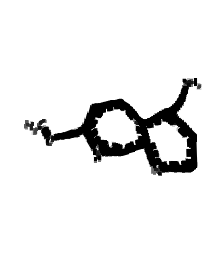 COc1ccc2c(N)ccnc2n1